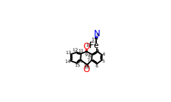 N#[C][Fe][c]1cccc2c1C(=O)c1ccccc1C2=O